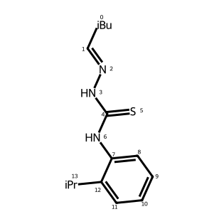 CCC(C)/C=N/NC(=S)Nc1ccccc1C(C)C